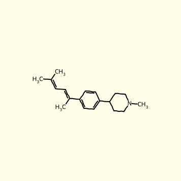 CC(C)=C/C=C(\C)c1ccc(C2CCN(C)CC2)cc1